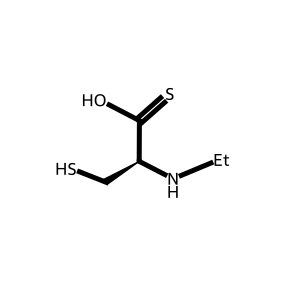 CCN[C@@H](CS)C(O)=S